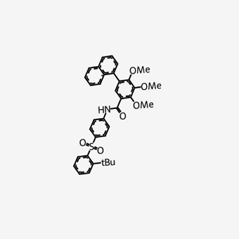 COc1c(C(=O)Nc2ccc(S(=O)(=O)c3ccccc3C(C)(C)C)cc2)cc(-c2cccc3ccccc23)c(OC)c1OC